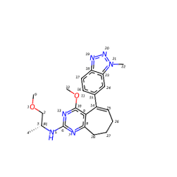 COC[C@@H](C)Nc1nc2c(c(OC)n1)C(c1ccc3nnn(C)c3c1)=CCCC2